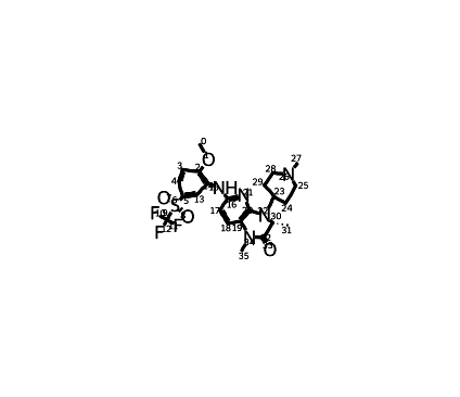 COc1ccc(S(=O)(=O)C(F)(F)F)cc1Nc1ccc2c(n1)N(C1CCN(C)CC1)[C@H](C)C(=O)N2C